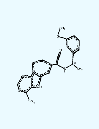 COc1cccc([C@@H](C)NC(=O)c2ccc3c(c2)[nH]c2c(C)nccc23)c1